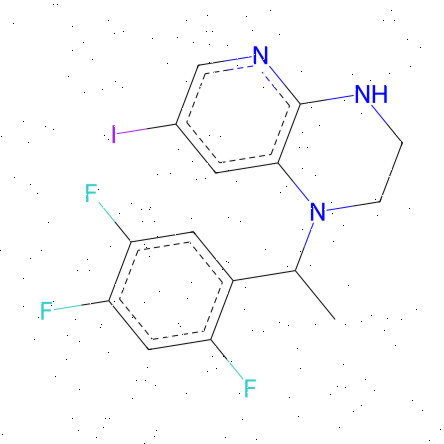 CC(c1cc(F)c(F)cc1F)N1CCNc2ncc(I)cc21